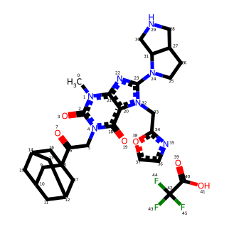 Cn1c(=O)n(CC(=O)C23CC4CC(CC(C4)C2)C3)c(=O)c2c1nc(N1CCC3CNCC31)n2Cc1ncco1.O=C(O)C(F)(F)F